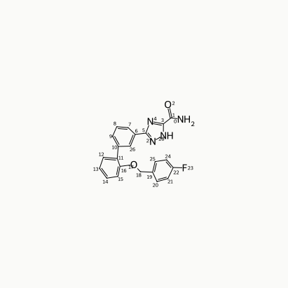 NC(=O)c1nc(-c2cccc(-c3ccccc3OCc3ccc(F)cc3)c2)n[nH]1